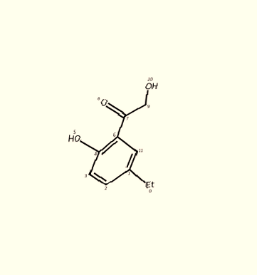 CCc1ccc(O)c(C(=O)CO)c1